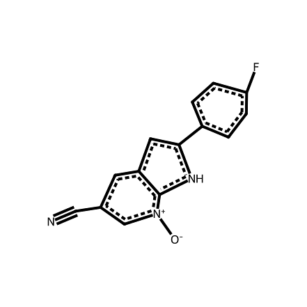 N#Cc1cc2cc(-c3ccc(F)cc3)[nH]c2[n+]([O-])c1